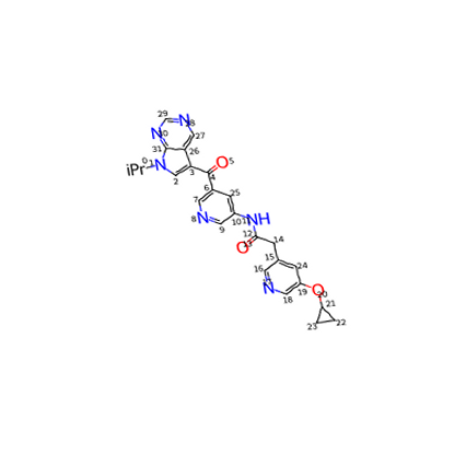 CC(C)n1cc(C(=O)c2cncc(NC(=O)Cc3cncc(OC4CC4)c3)c2)c2cncnc21